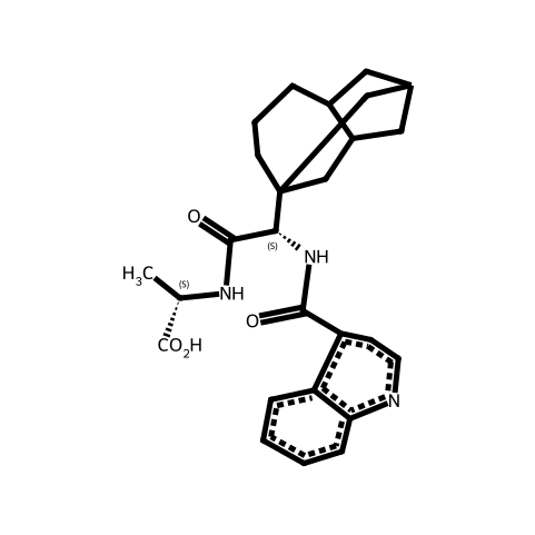 C[C@H](NC(=O)[C@@H](NC(=O)c1ccnc2ccccc12)C12CCCC3CC(CC3C1)C2)C(=O)O